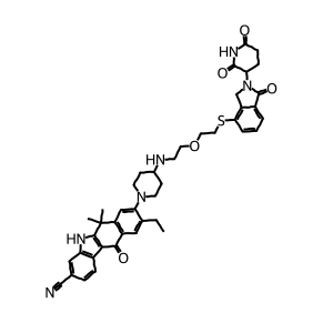 CCc1cc2c(cc1N1CCC(NCCOCCSc3cccc4c3CN(C3CCC(=O)NC3=O)C4=O)CC1)C(C)(C)c1[nH]c3cc(C#N)ccc3c1C2=O